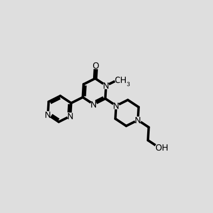 Cn1c(N2CCN(CCO)CC2)nc(-c2ccncn2)cc1=O